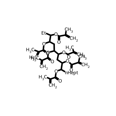 C=C(C)C(=O)OC(CC)C(CC(OC(=O)C(=C)C)C(CC(OC(=O)C(=C)C)C(CCCCCCC)OC(=O)C(=C)C)OC(=O)C(=C)C)OC(=O)C(=C)C